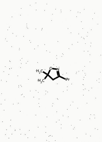 [CH2]C1([CH2])CC(C(C)C)=NO1